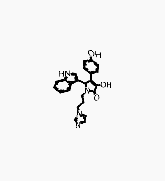 O=C1C(O)=C(c2ccc(O)cc2)C(c2c[nH]c3ccccc23)N1CCCn1ccnc1